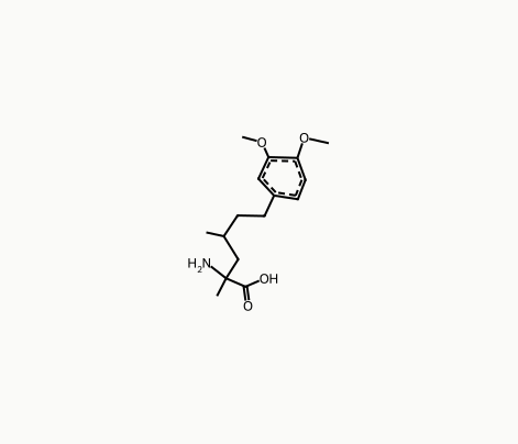 COc1ccc(CCC(C)CC(C)(N)C(=O)O)cc1OC